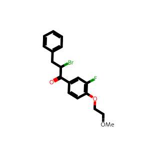 COCCOc1ccc(C(=O)C(Br)Cc2ccccc2)cc1F